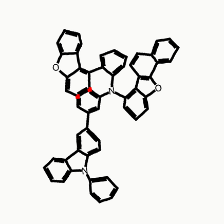 c1ccc(-n2c3ccccc3c3cc(-c4cccc(N(c5ccccc5-c5cccc6oc7ccccc7c56)c5cccc6oc7c8ccccc8ccc7c56)c4)ccc32)cc1